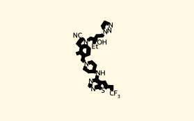 CCC(O)(CCn1ccnn1)Cn1c(C#N)cc2c(C)c(CN3CCC(Nc4ncnc5sc(CC(F)(F)F)cc45)CC3)ccc21